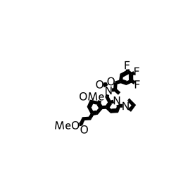 COC(=O)CCc1ccc(OC)c(-c2ccc(N3CCC3)nc2CN2C(=O)OC(c3cc(F)c(F)c(F)c3)C2C)c1